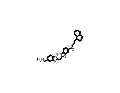 NCc1ccc2[nH]c(Cc3nc4cc(C(=O)NCCc5cccc6ccccc56)ccc4[nH]3)nc2c1